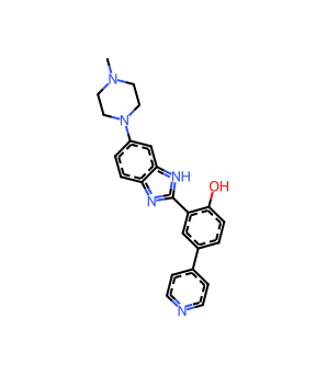 CN1CCN(c2ccc3nc(-c4cc(-c5ccncc5)ccc4O)[nH]c3c2)CC1